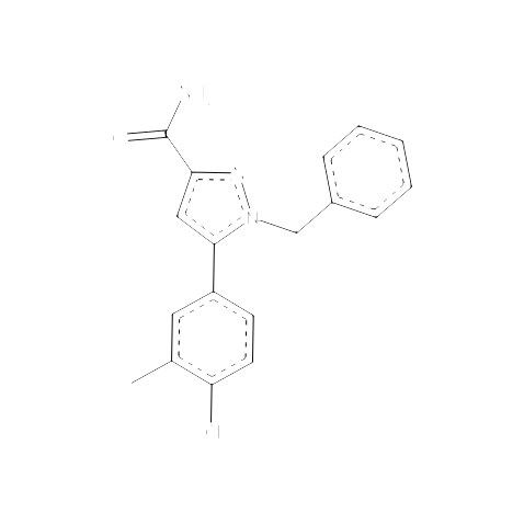 Cc1cc(-c2cc(C(N)=O)nn2Cc2ccccc2)ccc1Cl